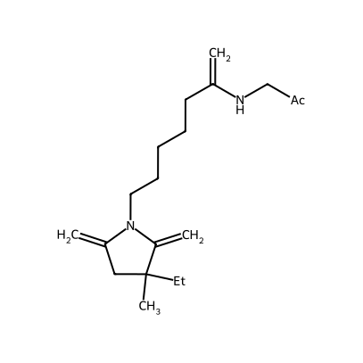 C=C(CCCCCN1C(=C)CC(C)(CC)C1=C)NCC(C)=O